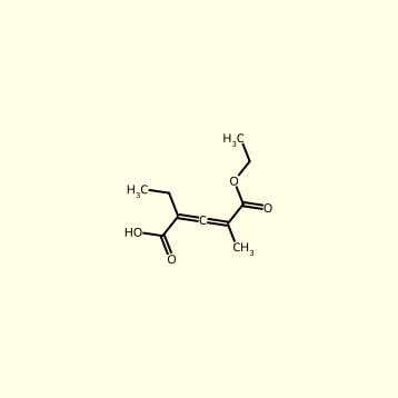 CCOC(=O)C(C)=C=C(CC)C(=O)O